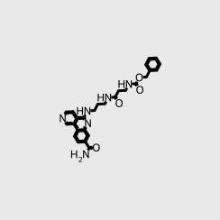 NC(=O)c1ccc2c(c1)nc(NCCCNC(=O)CCNC(=O)OCc1ccccc1)c1ccncc12